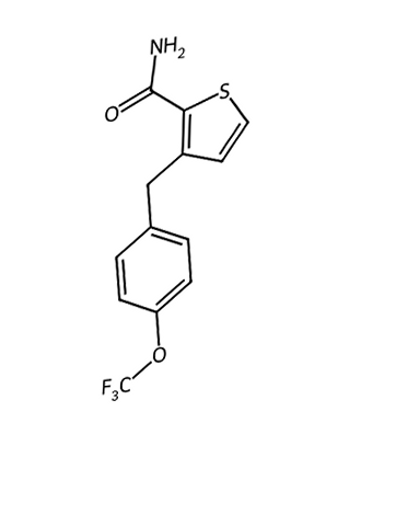 NC(=O)c1sccc1Cc1ccc(OC(F)(F)F)cc1